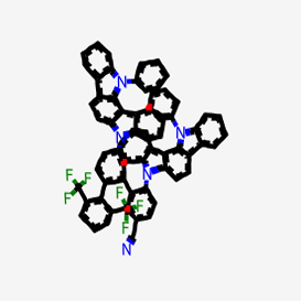 N#Cc1ccc(-n2c3ccccc3c3c2ccc2c4ccccc4n(-c4ccccc4)c23)c(-c2cc(-n3c4ccccc4c4c3ccc3c5ccccc5n(-c5ccccc5)c34)ccc2-c2c(C(F)(F)F)cccc2C(F)(F)F)c1